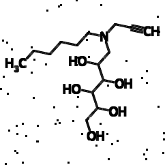 C#CCN(CCCCCC)CC(O)C(O)C(O)C(O)CO